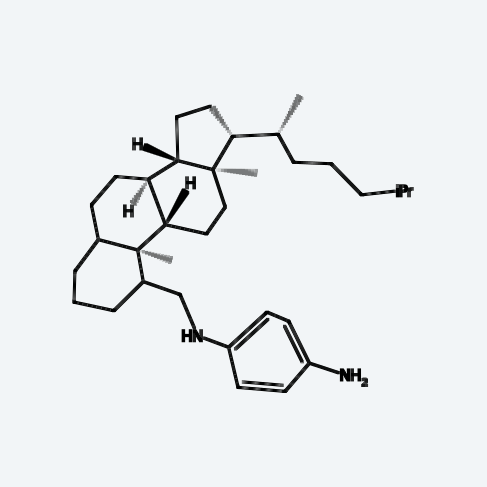 CC(C)CCC[C@@H](C)[C@H]1CC[C@H]2[C@@H]3CCC4CCCC(CNc5ccc(N)cc5)[C@]4(C)[C@H]3CC[C@]12C